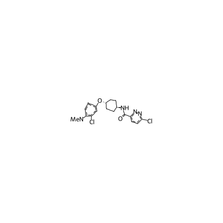 CNc1ccc(O[C@H]2CC[C@H](NC(=O)c3ccc(Cl)nn3)CC2)cc1Cl